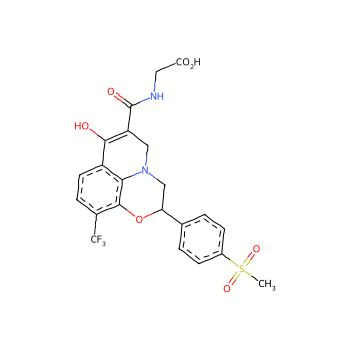 CS(=O)(=O)c1ccc(C2CN3CC(C(=O)NCC(=O)O)=C(O)c4ccc(C(F)(F)F)c(c43)O2)cc1